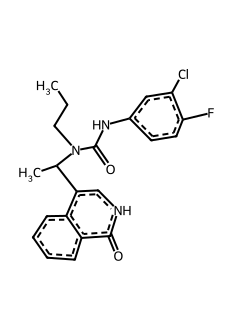 CCCN(C(=O)Nc1ccc(F)c(Cl)c1)C(C)c1c[nH]c(=O)c2ccccc12